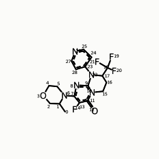 CC1COCCN1c1nc2n(c(=O)c1F)CCC(C(F)(F)F)N2c1ccncc1